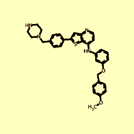 COc1ccc(COc2cccc(Nc3ccnc4cc(-c5ccc(CN6CCNCC6)cc5)sc34)c2)cc1